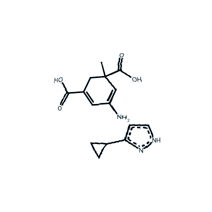 CC1(C(=O)O)C=C(N)C=C(C(=O)O)C1.c1cc(C2CC2)n[nH]1